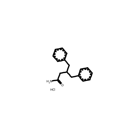 Cl.NC(=O)CC(Cc1ccccc1)Cc1ccccc1